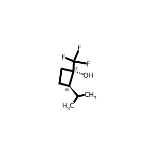 CC(C)[C@H]1CC[C@@]1(O)C(F)(F)F